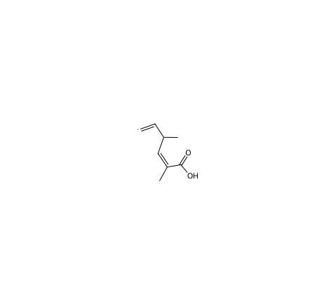 [CH]=CC(C)C=C(C)C(=O)O